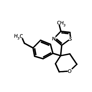 CCc1ccc(C2(c3nc(C)cs3)CCOCC2)cc1